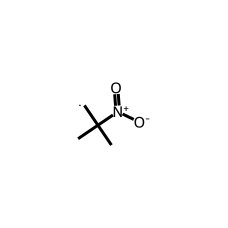 [CH2]C(C)(C)[N+](=O)[O-]